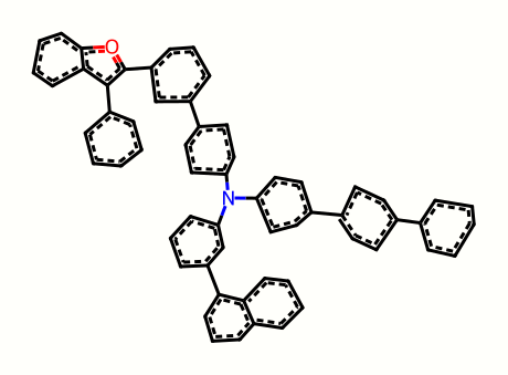 c1ccc(-c2ccc(-c3ccc(N(c4ccc(-c5cccc(-c6oc7ccccc7c6-c6ccccc6)c5)cc4)c4cccc(-c5cccc6ccccc56)c4)cc3)cc2)cc1